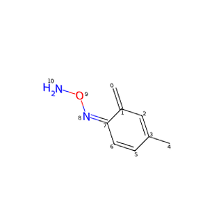 C=C1C=C(C)C=C/C1=N/ON